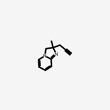 C#CCC1(C)CN2C=CC=CC2=N1